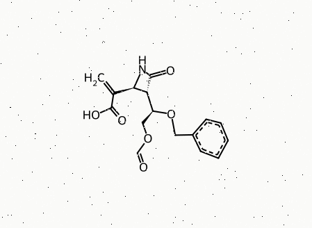 C=C(C(=O)O)[C@H]1NC(=O)[C@@H]1[C@H](COC=O)OCc1ccccc1